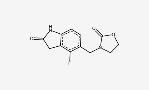 O=C1Cc2c(ccc(CN3CCOC3=O)c2F)N1